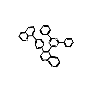 c1ccc(-c2nc(-c3ccccc3)nc(-c3c(-c4ccc(-c5cccc6cccnc56)cc4)ccc4ccccc34)n2)cc1